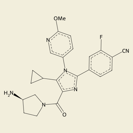 COc1ccc(-n2c(-c3ccc(C#N)c(F)c3)nc(C(=O)N3CC[C@@H](N)C3)c2C2CC2)cn1